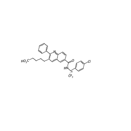 O=C(O)CCCCc1cc2cc(C(=O)N[C@H](c3ccc(Cl)cc3)C(F)(F)F)ccc2nc1-c1ccccc1